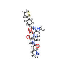 CC(C)CC(NC(=O)c1ccc(-c2cccs2)cc1)C(=O)N1CCC2C1C(=O)CN2C(=O)Cc1cccnc1